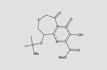 C=C1COCC(O[Si](C)(C)C(C)(C)C)c2nc(C(=O)OC)c(O)c(=O)n21